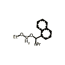 CCCC(O[SiH2]OCC)c1cccc2ccccc12